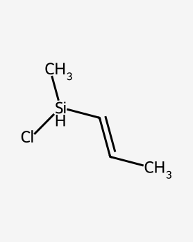 CC=C[SiH](C)Cl